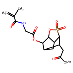 C=C(C)C(=O)NCC(=O)OC1C2CC3C1OS(=O)(=O)C3C2CC(=O)OC